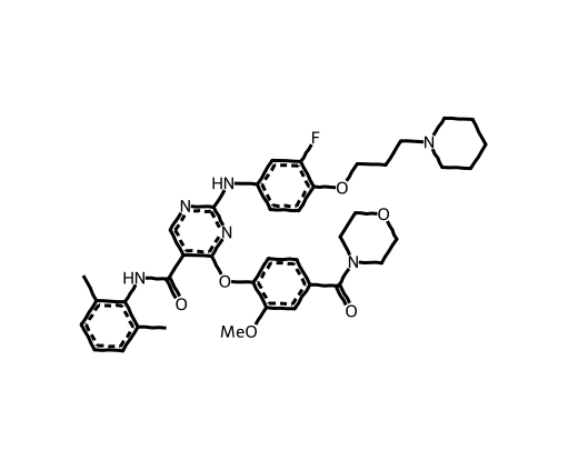 COc1cc(C(=O)N2CCOCC2)ccc1Oc1nc(Nc2ccc(OCCCN3CCCCC3)c(F)c2)ncc1C(=O)Nc1c(C)cccc1C